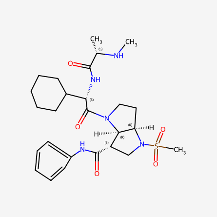 CN[C@@H](C)C(=O)N[C@H](C(=O)N1CC[C@@H]2[C@H]1[C@@H](C(=O)Nc1ccccc1)CN2S(C)(=O)=O)C1CCCCC1